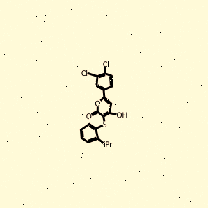 CC(C)c1ccccc1Sc1c(O)cc(-c2ccc(Cl)c(Cl)c2)oc1=O